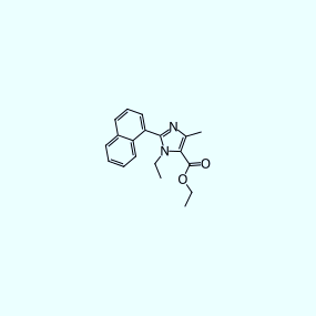 CCOC(=O)c1c(C)nc(-c2cccc3ccccc23)n1CC